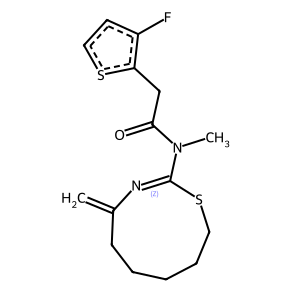 C=C1CCCCCS/C(N(C)C(=O)Cc2sccc2F)=N\1